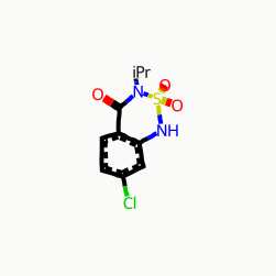 CC(C)N1C(=O)c2ccc(Cl)cc2NS1(=O)=O